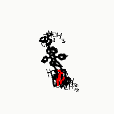 Cc1cc(N2c3ccc(-c4ccc5c6c(-c7ccccc7)c7c8ccc(-c9ccc%10c(c9)C9(C)CCCCC9(C)N%10c9ccnc(C)c9)c9c(-c%10ccc%11c(c%10)C%10(C)CCCCC%10(C)N%11c%10ccnc(C)c%10)ccc(c7c(-c7ccccc7)c6c6cccc4c65)c98)cc3C3(C)CCCCC23C)ccn1